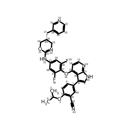 CC(C)Oc1ccc(-c2c[nH]c3nccc(Oc4c(F)cc(NC5=NC[C@@H](Cc6cccnc6)CO5)cc4F)c23)cc1C#N